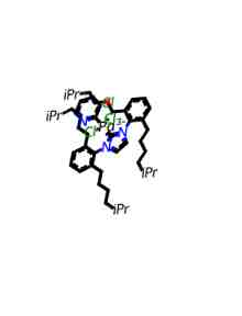 CC(C)CCCCc1cccc(CCCCC(C)C)c1-n1ccn(-c2c(CCCCC(C)C)cccc2CCCCC(C)C)[c]1=[Pd-3]([Cl])([Cl])[c]1ncccc1Cl